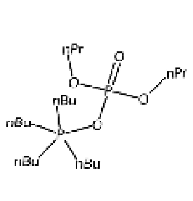 CCCCP(CCCC)(CCCC)(CCCC)OP(=O)(OCCC)OCCC